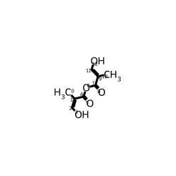 CC(=CO)C(=O)OC(=O)C(C)=CO